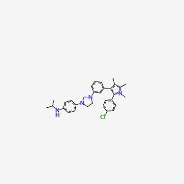 Cc1c(-c2cccc(N3CCN(c4ccc(NC(C)C)cc4)C3)c2)c(-c2ccc(Cl)cc2)n(C)c1C